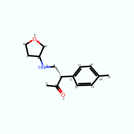 CC(=O)[C@H](CNC1CCOC1)c1ccc(C)cc1